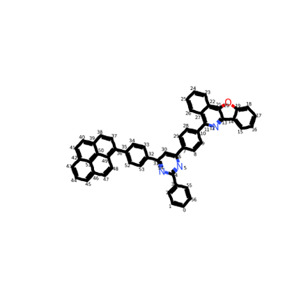 c1ccc(-c2nc(-c3ccc(-c4nc5c6ccccc6oc5c5ccccc45)cc3)cc(-c3ccc(-c4ccc5ccc6cccc7ccc4c5c67)cc3)n2)cc1